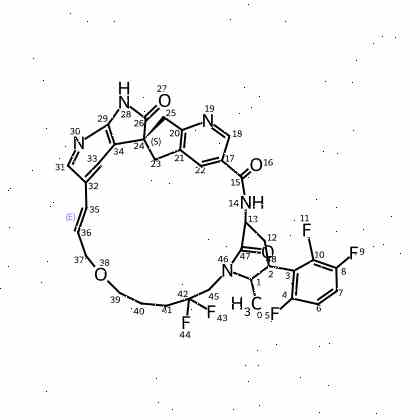 CC1C(c2c(F)ccc(F)c2F)CC2NC(=O)c3cnc4c(c3)C[C@@]3(C4)C(=O)Nc4ncc(cc43)/C=C/COCCCC(F)(F)CN1C2=O